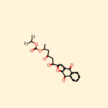 CCC(CC)OC(=O)OC(C)CC(=O)CC(=O)c1cc2c(o1)C(=O)c1ccccc1C2=O